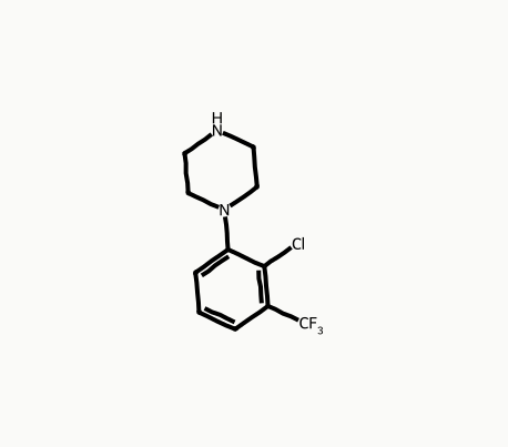 FC(F)(F)c1cccc(N2CCNCC2)c1Cl